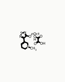 CCCCCCCCOc1nsnc1C1=CCCN(C)C1.O=C(O)C(=O)O